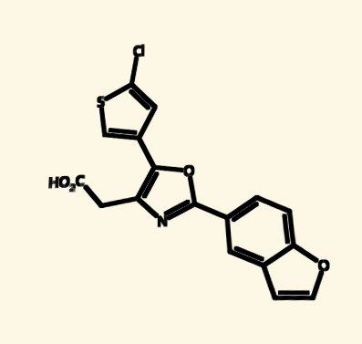 O=C(O)Cc1nc(-c2ccc3occc3c2)oc1-c1csc(Cl)c1